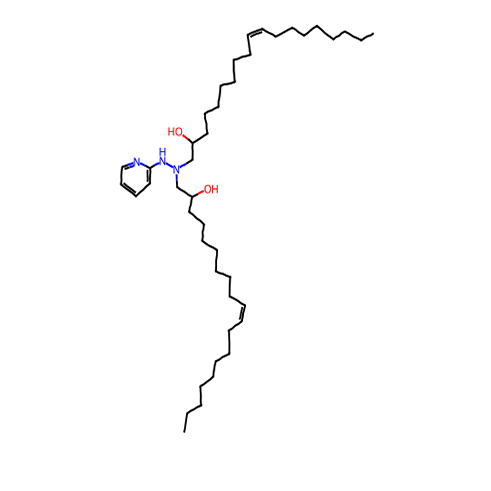 CCCCCCCC/C=C\CCCCCCCC(O)CN(CC(O)CCCCCCC/C=C\CCCCCCCC)Nc1ccccn1